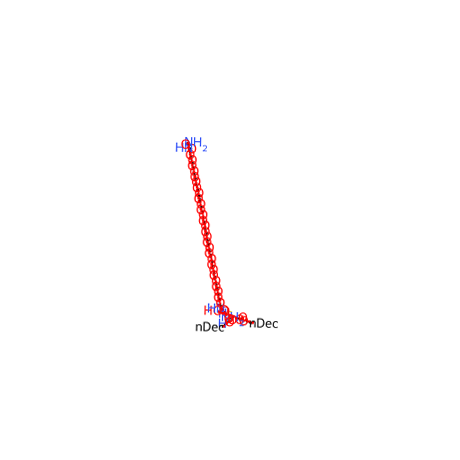 CCCCCCCCCCCCCCOC(=O)OCCC[C@H](CSC[C@H](N)C(=O)N[C@@H](CO)C(=O)NCCOCCOCCOCCOCCOCCOCCOCCOCCOCCOCCOCCOCCOCCOCCOCCOCCOCCOCCOCCOCCOCCOCCOCCOCCOCCOCCOCCOCCC(=O)NCC(N)=O)OC(=O)OCCCCCCCCCCCCCC